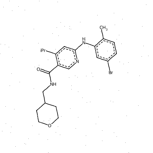 Cc1ccc(Br)cc1Nc1cc(C(C)C)c(C(=O)NCC2CCOCC2)cn1